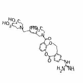 N=C(N)Nc1ccc2c(c1)CCCOc1c(cccc1C(=O)N(CC(=O)O)Cc1cccc(CN(CC(=O)O)CC(=O)O)c1)OC2=O